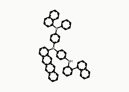 c1ccc(N(c2ccc(N(c3ccc(Nc4ccccc4-c4cccc5ccccc45)cc3)c3cccc4cc5cc6ccccc6cc5cc34)cc2)c2cccc3ccccc23)cc1